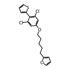 Clc1cc(OCCCCCc2ccco2)cc(Cl)c1-c1cccs1